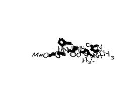 COCCOCCNC(=O)[C@H](CC1CCCC1)NC(=O)c1ccc([C@H](C)Nc2cc(Cl)cnc2C)s1